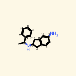 CC(NC1Cc2ccc(N)cc2C1)c1ccccc1